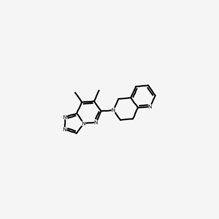 Cc1c(N2CCc3ncccc3C2)nn2cnnc2c1C